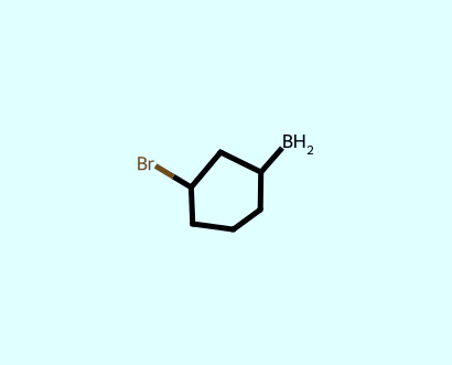 BC1CCCC(Br)C1